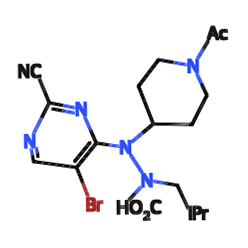 CC(=O)N1CCC(N(c2nc(C#N)ncc2Br)N(CC(C)C)C(=O)O)CC1